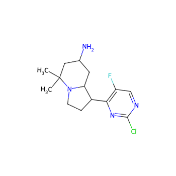 CC1(C)CC(N)CC2C(c3nc(Cl)ncc3F)CCN21